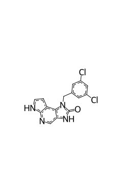 O=c1[nH]c2cnc3[nH]ccc3c2n1Cc1cc(Cl)cc(Cl)c1